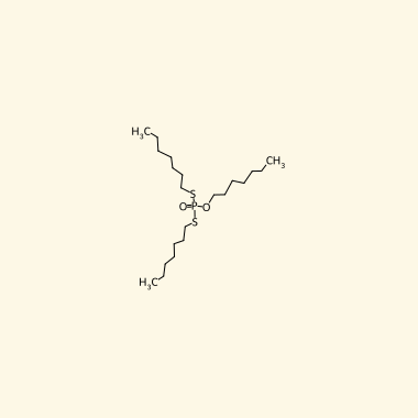 CCCCCCCOP(=O)(SCCCCCCC)SCCCCCCC